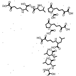 CC(C)CC(N)C(=O)O.CC(C)CC(NCCCC(=O)C(=O)O)C(=O)O.CC(NCCCC(=O)C(=O)O)C(=O)O.CNC(CC(C)C)C(=O)O.CNC(CC(C)C)C(=O)O.CN[C@@H](C)C(=O)O.O=C(O)C(=O)CCCN1C(=O)CC[C@H]1C(=O)O.O=C(O)C(=O)CCCN1C(=O)CC[C@H]1C(=O)O